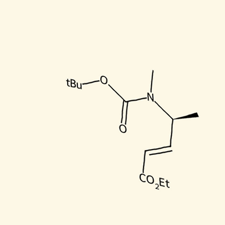 CCOC(=O)/C=C/[C@H](C)N(C)C(=O)OC(C)(C)C